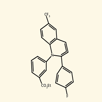 CCOC(=O)c1cccc(N2C(c3ccc(F)cc3)=C=Cc3cc(C(F)(F)F)ccc32)c1